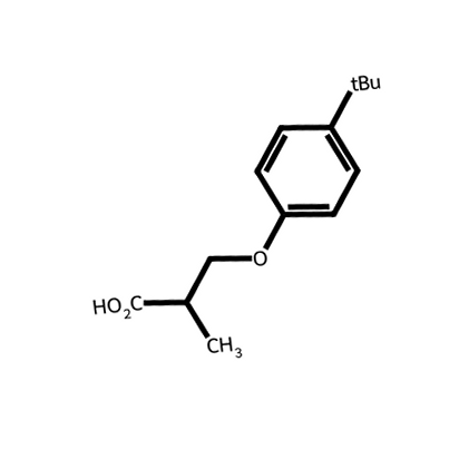 CC(COc1ccc(C(C)(C)C)cc1)C(=O)O